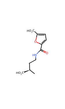 C[C@H](CCNC(=O)c1ccc(C(=O)O)o1)C(=O)O